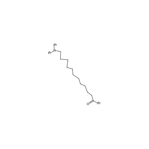 CC(C)C(=O)CCCCCCCCCCCN(C(C)C)C(C)C